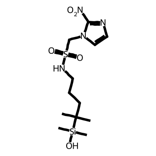 CC(C)(CCCNS(=O)(=O)Cn1ccnc1[N+](=O)[O-])[Si](C)(C)O